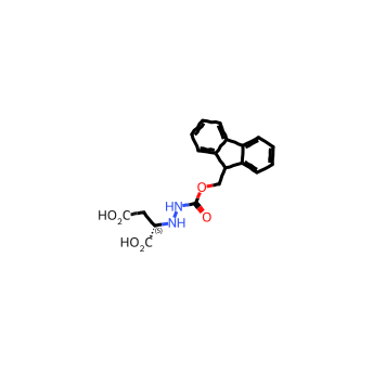 O=C(O)C[C@H](NNC(=O)OCC1c2ccccc2-c2ccccc21)C(=O)O